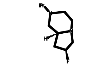 CC(C)N1CCN2C[C@@H](F)C[C@H]2C1